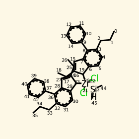 CCCc1ccc2c(c1-c1ccccc1)C=C(CC)[CH]2[Zr]([Cl])([Cl])([CH]1C(CC)=Cc2c1ccc(CCC)c2-c1ccccc1)[SiH](C)C